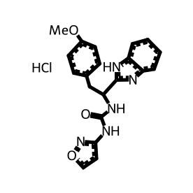 COc1ccc(CC(NC(=O)Nc2ccon2)c2nc3ccccc3[nH]2)cc1.Cl